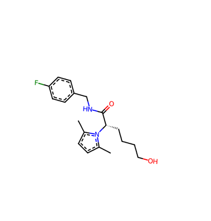 Cc1ccc(C)n1[C@@H](CCCCO)C(=O)NCc1ccc(F)cc1